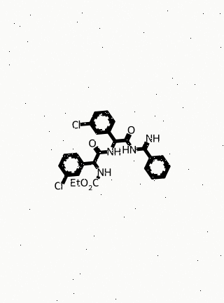 CCOC(=O)NC(C(=O)NC(C(=O)NC(=N)c1ccccc1)c1cccc(Cl)c1)c1cccc(Cl)c1